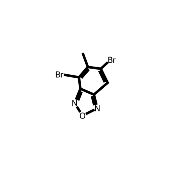 Cc1c(Br)cc2nonc2c1Br